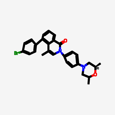 Cc1cn(-c2ccc(N3CC(C)O[C@H](C)C3)cc2)c(=O)c2cccc(-c3ccc(Br)cc3)c12